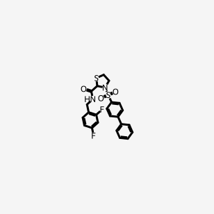 O=C(NCc1ccc(F)cc1F)C1SCCN1S(=O)(=O)c1ccc(-c2ccccc2)cc1